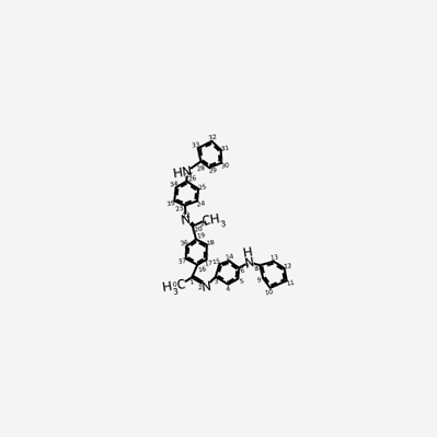 CC(=Nc1ccc(Nc2ccccc2)cc1)c1ccc(C(C)=Nc2ccc(Nc3ccccc3)cc2)cc1